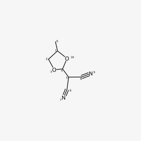 CC1COC(C(C#N)C#N)O1